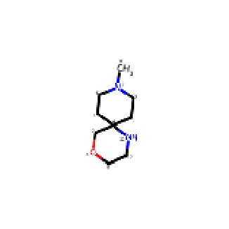 CN1CCC2(CC1)COCCN2